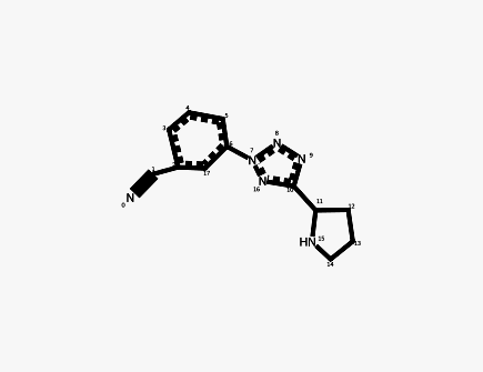 N#Cc1cccc(-n2nnc(C3CCCN3)n2)c1